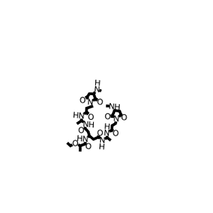 CCOC(C)C(=O)NC(CC(=O)NC(C)NC(=O)CCN1C(=O)CC(NC)C1=O)CC(=O)NC(C)NC(=O)CCN1C(=O)CC(NC)C1=O